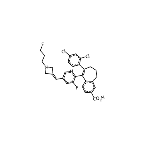 O=C(O)c1ccc2c(c1)CCCC(c1ccc(Cl)cc1Cl)=C2c1ncc(C=C2CN(CCCF)C2)cc1F